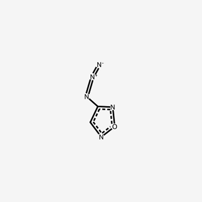 [N-]=[N+]=Nc1cnon1